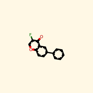 O=c1c(F)coc2ccc(-c3ccccc3)cc12